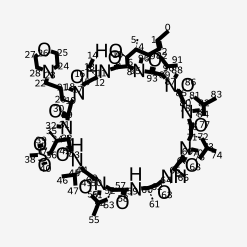 C/C=C/C[C@@H](C)[C@@H](O)C1C(=O)N[C@@H](CC)C(=O)N(C)[C@H](CCCN2CCOCC2)C(=O)N(C)[C@@H]([C@H](C)CS(C)(=O)=O)C(=O)N[C@@H](C(C)C)C(=O)N(C)[C@@H](CC(C)C)C(=O)N[C@@H](C)C(=O)N[C@H](C)C(=O)N(C)[C@@H](CC(C)C)C(=O)N(C)[C@@H](CC(C)C)C(=O)N(C)[C@@H](C(C)C)C(=O)N1C